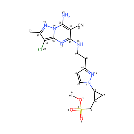 CCOS(=O)(=O)CC1CC1n1ccc(CCNc2nc3c(Cl)c(C)nn3c(N)c2C#N)n1